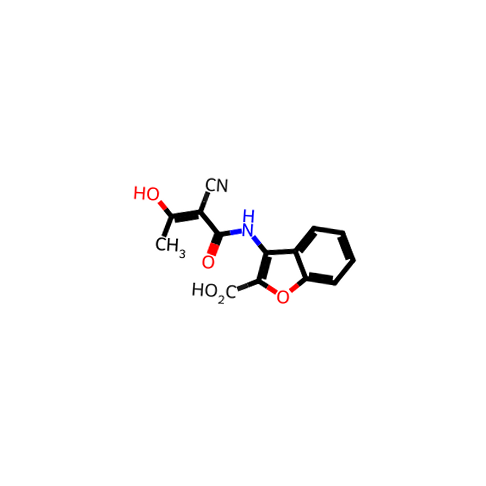 C/C(O)=C(/C#N)C(=O)Nc1c(C(=O)O)oc2ccccc12